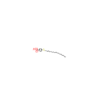 CCCCCCCCCCCCCCCCCCSc1ccc(C(=O)O)cc1